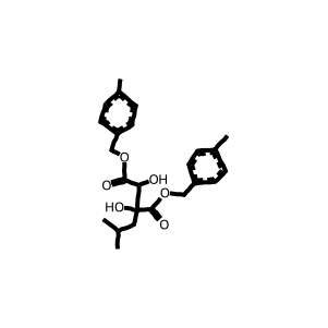 Cc1ccc(COC(=O)C(O)C(O)(CC(C)C)C(=O)OCc2ccc(C)cc2)cc1